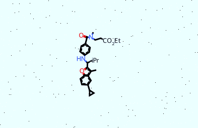 CCOC(=O)CCN(C)C(=O)c1ccc(NC(c2oc3ccc(C4CC4)cc3c2C)C(C)C)cc1